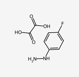 NNc1ccc(F)cc1.O=C(O)C(=O)O